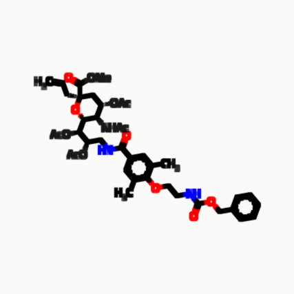 C=CC[C@]1(C(=O)OC)C[C@H](OC(C)=O)[C@@H](NC(C)=O)[C@H]([C@H](OC(C)=O)[C@@H](CNC(=O)c2cc(C)c(OCCNC(=O)OCc3ccccc3)c(C)c2)OC(C)=O)O1